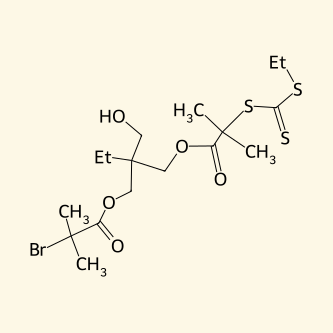 CCSC(=S)SC(C)(C)C(=O)OCC(CC)(CO)COC(=O)C(C)(C)Br